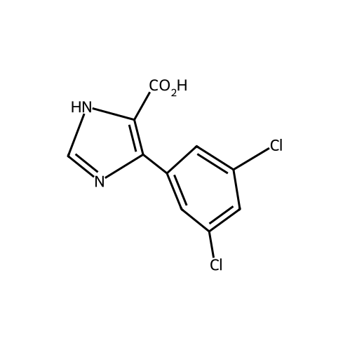 O=C(O)c1[nH]cnc1-c1cc(Cl)cc(Cl)c1